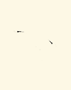 CC(=O)C1C[C@@H]2CC[C@H]1C2